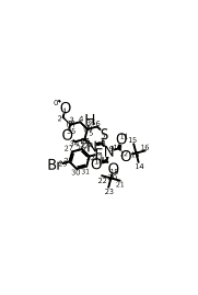 COC[C@H]1C[C@H]2CSC(N(C(=O)OC(C)(C)C)C(=O)OC(C)(C)C)=N[C@@]2(c2cc(Br)ccc2F)CO1